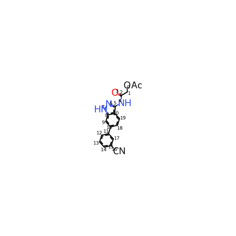 CC(=O)OCC(=O)Nc1n[nH]c2cc(-c3cccc(C#N)c3)ccc12